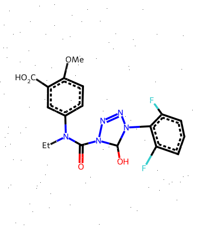 CCN(C(=O)N1N=NN(c2c(F)cccc2F)C1O)c1ccc(OC)c(C(=O)O)c1